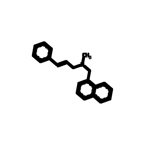 CN(CC=Cc1ccccc1)Cc1cccc2ccccc12